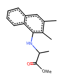 COC(=O)C(C)Nc1c(C)c(C)cc2ccccc12